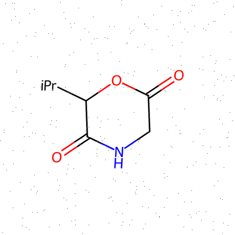 CC(C)C1OC(=O)CNC1=O